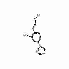 CCOC=Nc1ccc(-n2cncn2)cc1C#N